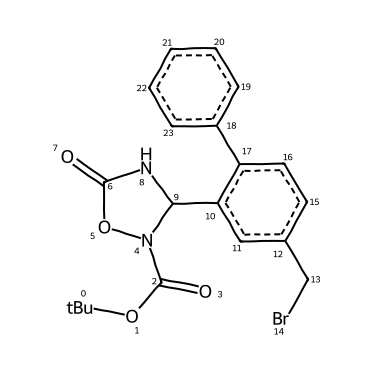 CC(C)(C)OC(=O)N1OC(=O)NC1c1cc(CBr)ccc1-c1ccccc1